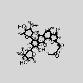 Cc1cc2c(c3oc(C4OC4C4OC4C)cc(=O)c13)C(=O)c1c(O)c(C3CC(C)(N(C)C)C(O)C(C)O3)cc(C3CC(N(C)C)C(O)C(C)O3)c1C2=O